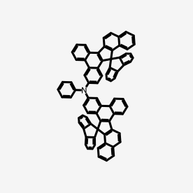 c1ccc(N(c2ccc3c4c(c5ccccc5c3c2)-c2ccc3ccccc3c2C42c3ccccc3-c3ccccc32)c2ccc3c4c(c5ccccc5c3c2)-c2ccc3ccccc3c2C42c3ccccc3-c3ccccc32)cc1